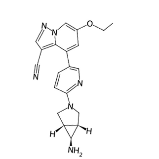 CCOc1cc(-c2ccc(N3C[C@@H]4[C@@H](N)[C@@H]4C3)nc2)c2c(C#N)cnn2c1